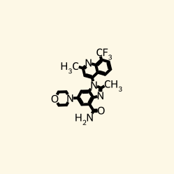 Cc1cc(-n2c(C)nc3c(C(N)=O)cc(N4CCOCC4)cc32)c2cccc(C(F)(F)F)c2n1